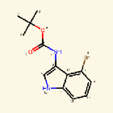 CC(C)(C)OC(=O)Nc1c[nH]c2cccc(Br)c12